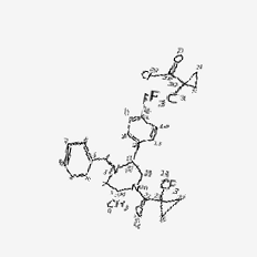 C[C@@H]1CN(Cc2ccccc2)[C@@H](c2ccc(F)cc2)CN1C(=O)C1(C(F)(F)F)CC1.O=C(Cl)C1(C(F)(F)F)CC1